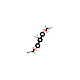 CCCC(F)C(=O)OC1CCC(c2ccc(C3CCC(OC(=O)C(F)CCC)CC3)c(C#N)c2)CC1